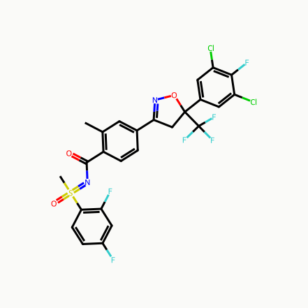 Cc1cc(C2=NOC(c3cc(Cl)c(F)c(Cl)c3)(C(F)(F)F)C2)ccc1C(=O)N=S(C)(=O)c1ccc(F)cc1F